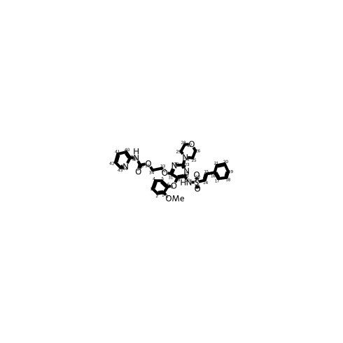 COc1ccccc1Oc1c(NS(=O)(=O)C=Cc2ccccc2)nc(N2CCOCC2)nc1OCCOC(=O)Nc1ccccn1